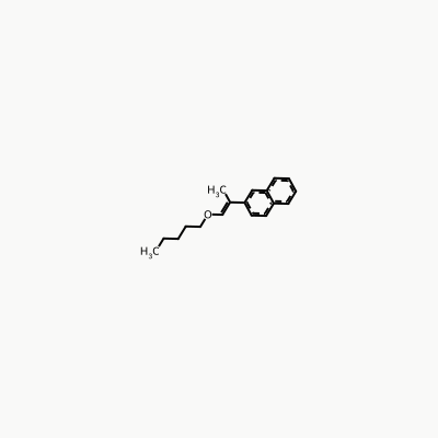 CCCCCOC=C(C)c1ccc2ccccc2c1